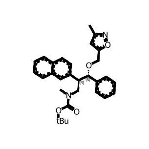 Cc1cc(CO[C@H](c2ccccc2)[C@@H](CN(C)C(=O)OC(C)(C)C)c2ccc3ccccc3c2)on1